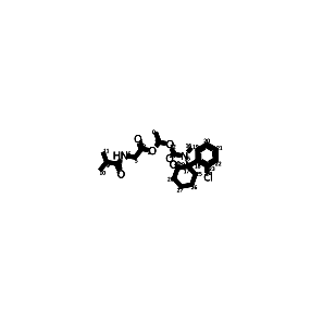 CC(OC(=O)CNC(=O)C(C)C)OC(=O)N(C)[C@]1(c2ccccc2Cl)CCCCC1=O